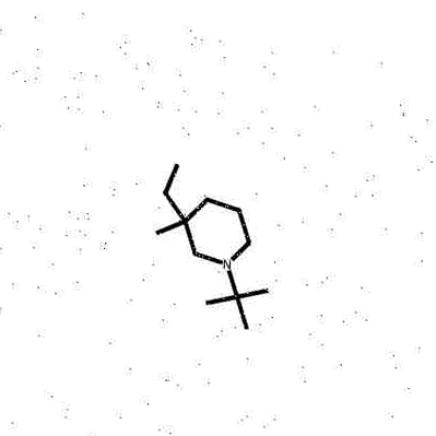 CCC1(C)CCCN(C(C)(C)C)C1